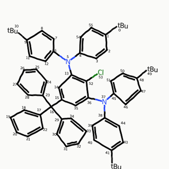 CC(C)(C)c1ccc(N(c2ccc(C(C)(C)C)cc2)c2cc(C(c3ccccc3)(c3ccccc3)c3ccccc3)cc(N(c3ccc(C(C)(C)C)cc3)c3ccc(C(C)(C)C)cc3)c2Cl)cc1